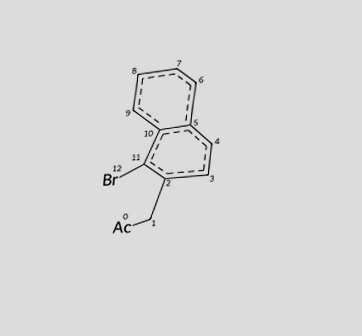 CC(=O)Cc1ccc2ccccc2c1Br